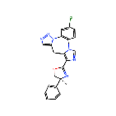 C[C@]1(c2ccccc2)COC(c2ncn3c2Cc2cnnn2-c2cc(Cl)ccc2-3)=N1